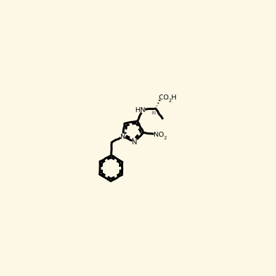 C[C@H](Nc1cn(Cc2ccccc2)nc1[N+](=O)[O-])C(=O)O